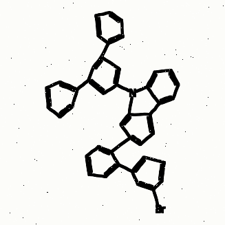 Brc1cccc(-c2ccccc2-c2ccc3c4ccccc4n(-c4cc(-c5ccccc5)cc(-c5ccccc5)c4)c3c2)c1